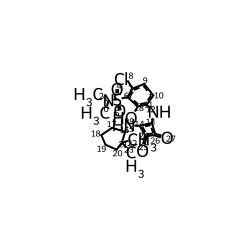 CN(C)S(=O)(=O)c1c(Cl)ccc(Nc2c(NC3CCCCC3(C)C)c(=O)c2=O)c1O